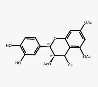 CC(=O)Oc1cc(OC(C)=O)c2c(c1)O[C@H](c1ccc(O)c(O)c1)[C@H](OC(C)=O)C2C(C)=O